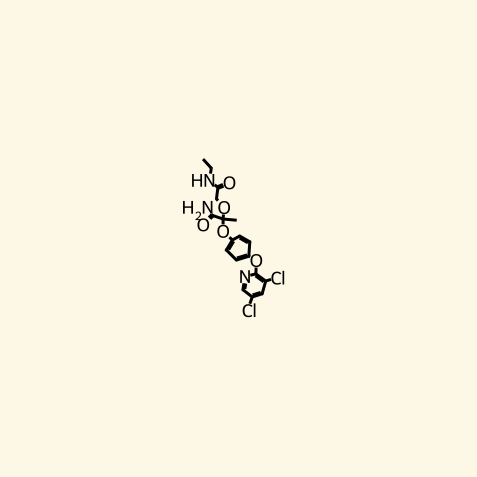 CCNC(=O)COC(C)(Oc1ccc(Oc2ncc(Cl)cc2Cl)cc1)C(N)=O